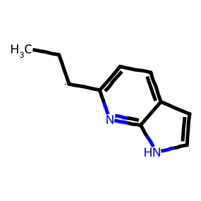 CC[CH]c1ccc2cc[nH]c2n1